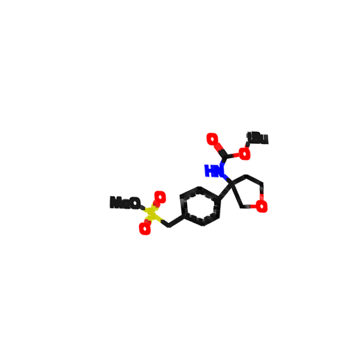 COS(=O)(=O)Cc1ccc(C2(NC(=O)OC(C)(C)C)CCOC2)cc1